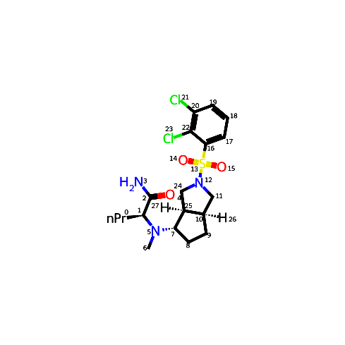 CCC[C@@H](C(N)=O)N(C)[C@H]1CC[C@@H]2CN(S(=O)(=O)c3cccc(Cl)c3Cl)C[C@@H]21